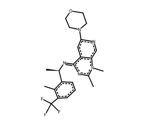 Cc1c([C@@H](C)/N=c2\nc(C)n(C)c3cnc(N4CCOCC4)cc23)cccc1C(F)(F)F